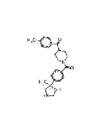 Cc1ccc(C(=O)C2CCN(C(=O)c3ccc([C@]4(C)CNCN4)cc3)CC2)cc1